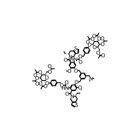 CC[C@@H]1Cc2sccc2CN1C(=O)c1cc(OC)c(OCc2cc(COc3cc(NC(=O)OCc4ccc(O[C@@H]5O[C@H](COC(C)=O)[C@H](OC(C)=O)[C@H](OC(C)=O)[C@@H]5OC(C)=O)cc4)c(C(=O)N4Cc5ccsc5C[C@@H]4CC)cc3OC)cc(CN(C)C)c2)cc1NC(=O)OCc1ccc(O[C@@H]2O[C@H](COC(C)=O)[C@H](OC(C)=O)[C@H](OC(C)=O)[C@@H]2OC(C)=O)cc1